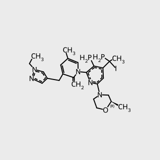 C=C1C(Cc2cnn(CC)c2)=CC(C)=CN1c1nc(N2CCO[C@H](C)C2)cc(C(C)(P)I)c1P